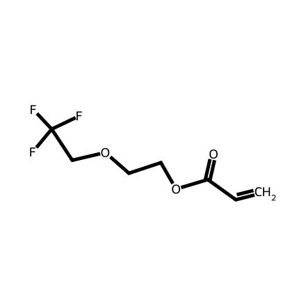 C=CC(=O)OCCOCC(F)(F)F